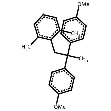 COc1ccc(C(C)(Cc2c(C)c[c]cc2C)c2ccc(OC)cc2)cc1